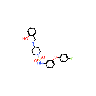 O=S(=O)(Nc1cccc(Oc2ccc(F)cc2)c1)N1CCC(NCc2ccccc2O)CC1